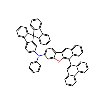 c1ccc(N(c2ccc3c(c2)C2(c4ccccc4-c4ccccc42)c2ccccc2-3)c2ccc3c(c2)oc2c(-c4cc5ccccc5c5ccccc45)c4ccccc4cc23)cc1